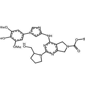 COc1cc(-n2cnc(Nc3nc(N4CCCC4CO)nc4c3CN(C(=O)OC(C)(C)C)C4)c2)cc(OC)c1OC